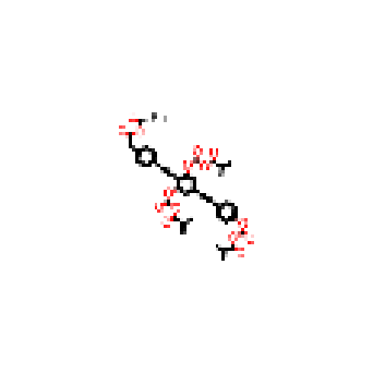 C=C(C)C(=O)OC(=O)Oc1ccc(C#Cc2cc(OC(=O)OC(=O)C(=C)C)c(C#Cc3ccc(CC(=O)OC(=O)C(C)(C)C)cc3)c(OC(=O)OC(=O)C(=C)C)c2)cc1